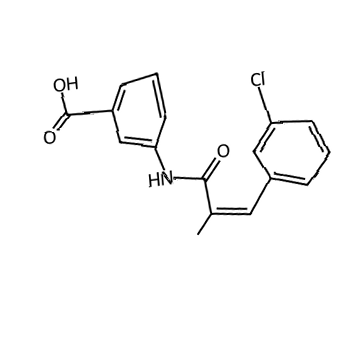 CC(=Cc1cccc(Cl)c1)C(=O)Nc1cccc(C(=O)O)c1